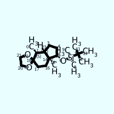 C[C@H]1[C@@H]2CC[C@H](O[Si](C)(C)C(C)(C)C)[C@@]2(C)CCC12OCCO2